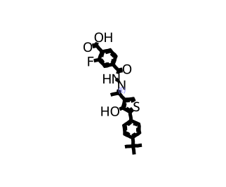 C/C(=N\NC(=O)c1ccc(C(=O)O)c(F)c1)c1csc(-c2ccc(C(C)(C)C)cc2)c1O